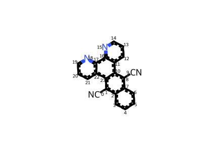 N#Cc1c2ccccc2c(C#N)c2c3cccnc3c3ncccc3c12